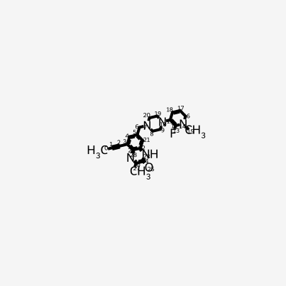 CC#Cc1cc(CN2CCN(C3=C(F)N(C)CC=C3)CC2)cc2[nH]c(=O)c(C)nc12